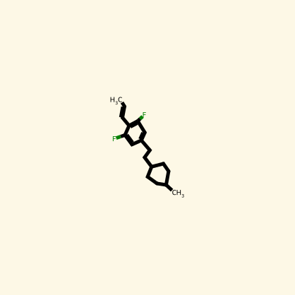 C/C=C/c1c(F)cc(CCC2CCC(C)CC2)cc1F